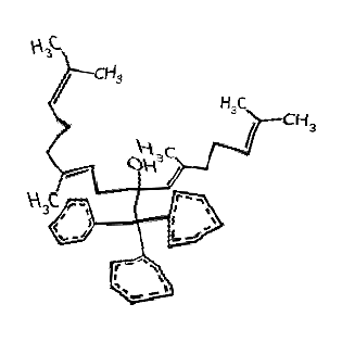 CC(C)=CCC/C(C)=C/CC(O)(/C=C(\C)CCC=C(C)C)C(c1ccccc1)(c1ccccc1)c1ccccc1